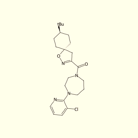 CC(C)(C)[C@H]1CC[C@]2(CC1)CC(C(=O)N1CCCN(c3ncccc3Cl)CC1)=NO2